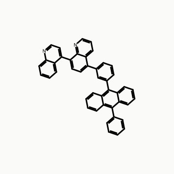 c1ccc(-c2c3ccccc3c(-c3cccc(-c4ccc(-c5ccnc6ccccc56)c5ncccc45)c3)c3ccccc23)cc1